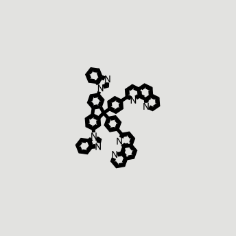 c1cnc2c(c1)ccc1ccc(-c3ccc(C4(c5ccc(-c6ccc7ccc8cccnc8c7n6)cc5)c5cc(-n6cnc7ccccc76)ccc5-c5ccc(-n6cnc7ccccc76)cc54)cc3)nc12